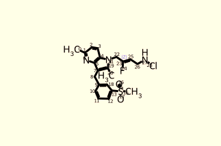 Cc1ccc2c(n1)c(Cc1cccc(S(C)(=O)=O)c1)c(C)n2C/C(F)=C/CNCl